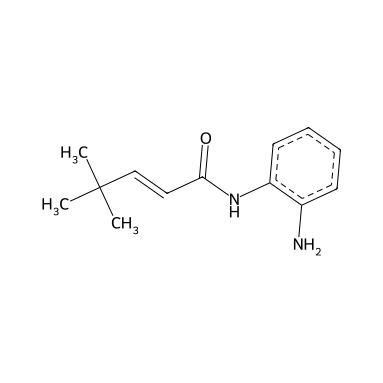 CC(C)(C)/C=C/C(=O)Nc1ccccc1N